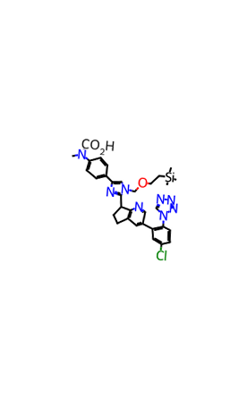 CN(C(=O)O)c1ccc(-c2cn(COCC[Si](C)(C)C)c(C3CCc4cc(-c5cc(Cl)ccc5-n5cnnn5)cnc43)n2)cc1